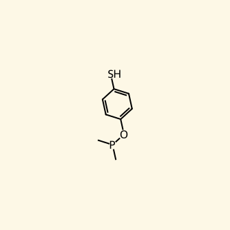 CP(C)Oc1ccc(S)cc1